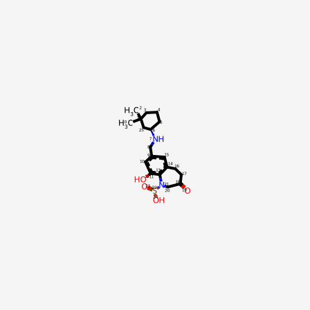 CC1(C)CCC[C@@H](NCc2cc(O)c3c(c2)CCC(=O)CN3S(=O)O)C1